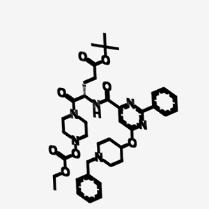 CCOC(=O)ON1CCN(C(=O)[C@H](CCC(=O)OC(C)(C)C)NC(=O)c2cc(OC3CCN(Cc4ccccc4)CC3)nc(-c3ccccc3)n2)CC1